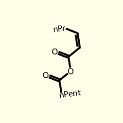 CCC/C=C\C(=O)OC(=O)CCCCC